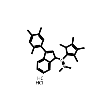 CC1=C(C)C(C)[C]([Zr]([CH]2C=C(c3cc(C)c(C)cc3C)c3ccccc32)=[Si](C)C)=C1C.Cl.Cl